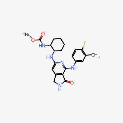 Cc1cc(Nc2nc(N[C@@H]3CCCC[C@@H]3NC(=O)OC(C)(C)C)cc3c2C(=O)NC3)ccc1F